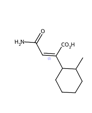 CC1CCCCC1/C(=C/C(N)=O)C(=O)O